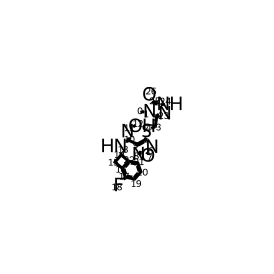 Cn1c(CSc2nonc2/C(=N\O)NC2Cc3c(F)cccc32)n[nH]c1=O